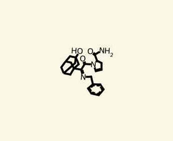 NC(=O)C1CC=CN1C(=O)/C(=N\Cc1ccccc1)C12CC3CC(CC(O)(C3)C1)C2